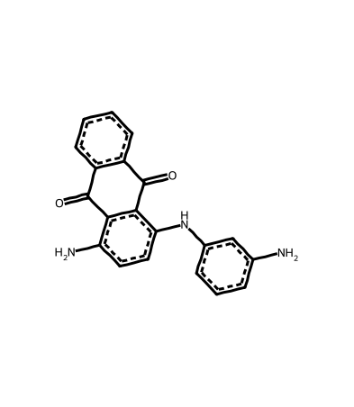 Nc1cccc(Nc2ccc(N)c3c2C(=O)c2ccccc2C3=O)c1